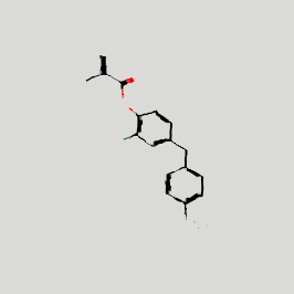 C=C(C)C(=O)Oc1ccc(Cc2ccc(OC)cc2)cc1F